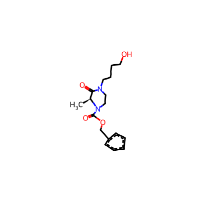 C[C@H]1C(=O)N(CCCCO)CCN1C(=O)OCc1ccccc1